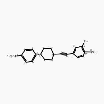 CCCCCc1ccc([C@H]2CC[C@H](C#Cc3ccc(CCCC)c(F)c3)CC2)cc1